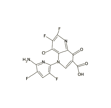 Nc1nc(-n2cc(C(=O)O)c(=O)c3nc(F)c(F)c(Cl)c32)c(F)cc1F